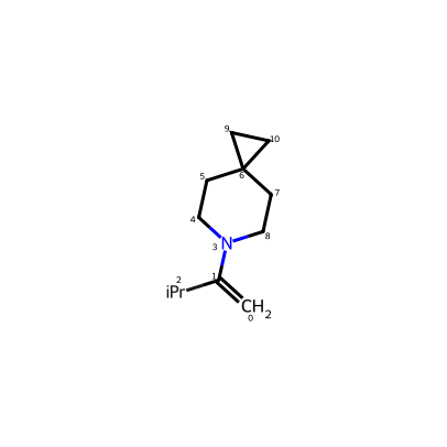 C=C(C(C)C)N1CCC2(CC1)CC2